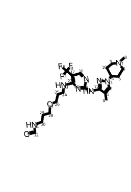 Cc1cn(C2CCN(C)CC2)nc1Nc1ncc(C(F)(F)F)c(NCCCOCCCNC=O)n1